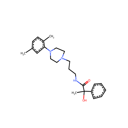 Cc1ccc(C)c(N2CCN(CCCNC(=O)C(C)(O)c3ccccc3)CC2)c1